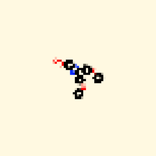 O=COc1ccc2nc(-c3ccc(Oc4ccccc4)cc3)c(-c3ccc(Oc4ccccc4)cc3)nc2c1